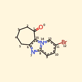 O=C1CCCCc2nc3ccc(Br)cn3c21